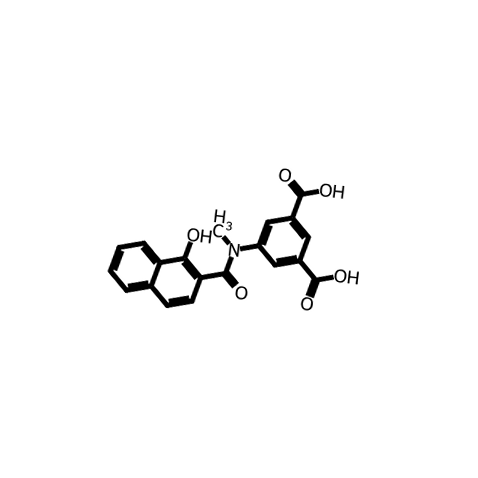 CN(C(=O)c1ccc2ccccc2c1O)c1cc(C(=O)O)cc(C(=O)O)c1